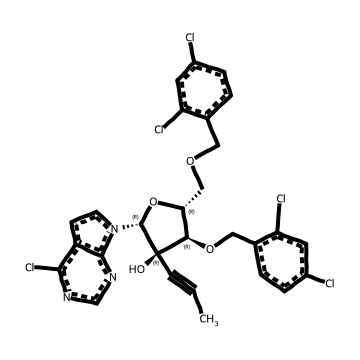 CC#C[C@@]1(O)[C@H](OCc2ccc(Cl)cc2Cl)[C@@H](COCc2ccc(Cl)cc2Cl)O[C@H]1n1ccc2c(Cl)ncnc21